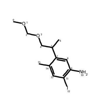 COCOCC(C)c1cc(N)c(I)cc1C